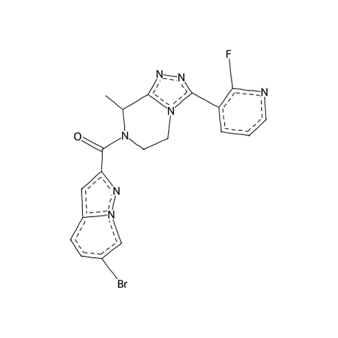 CC1c2nnc(-c3cccnc3F)n2CCN1C(=O)c1cc2ccc(Br)cn2n1